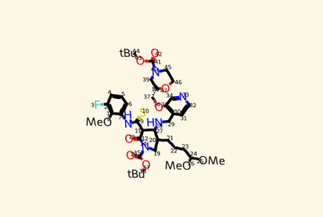 COc1c(F)cccc1NC(=S)C1C(=O)N(C(=O)OC(C)(C)C)CC(CCCC(OC)OC)C1NCc1ccncc1OC[C@@H]1CN(C(=O)OC(C)(C)C)CCO1